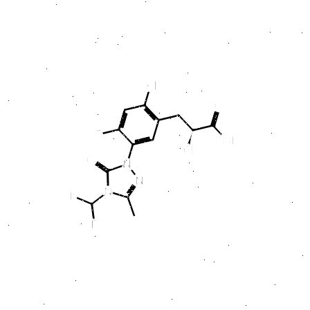 Cc1nn(-c2cc(C[C@H](Cl)C(=O)O)c(Cl)cc2F)c(=O)n1C(F)F